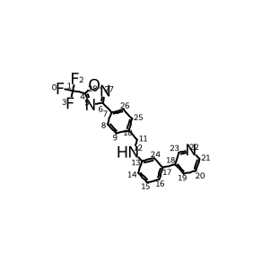 FC(F)(F)c1nc(-c2ccc(CNc3cccc(-c4cccnc4)c3)cc2)no1